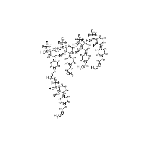 C=CCN1CCN(c2cccc(C(O)C(F)(F)F)c2F)CC1.CCCN1CCN(c2cccc(C(O)C(F)(F)F)c2C#N)CC1.CCN1CCN(c2cccc(C(O)C(F)(F)F)c2C#N)CC1.COCCN1CCN(c2cccc(C(O)C(F)(F)F)c2C#N)CC1.COCCN1CCN(c2cccc(C(O)C(F)(F)F)c2F)CC1